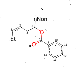 CC/C=C\CC(CCCCCCCCC)OC(=O)c1ccccc1